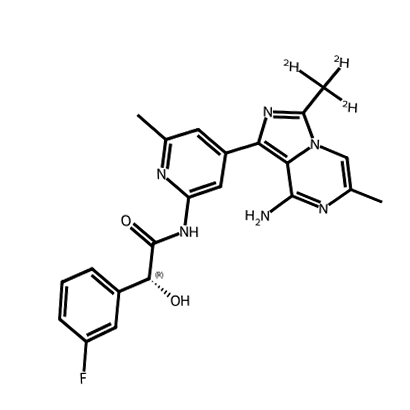 [2H]C([2H])([2H])c1nc(-c2cc(C)nc(NC(=O)[C@H](O)c3cccc(F)c3)c2)c2c(N)nc(C)cn12